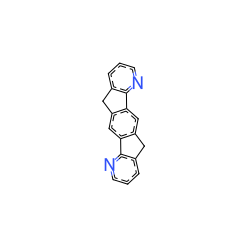 c1cnc2c(c1)Cc1cc3c(cc1-2)Cc1cccnc1-3